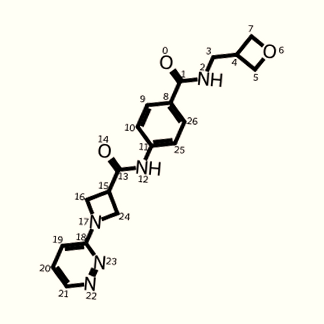 O=C(NCC1COC1)c1ccc(NC(=O)C2CN(c3cccnn3)C2)cc1